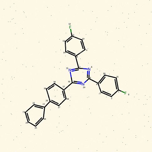 Fc1ccc(-c2nc(-c3ccc(F)cc3)nc(-c3ccc(-c4ccccc4)cc3)n2)cc1